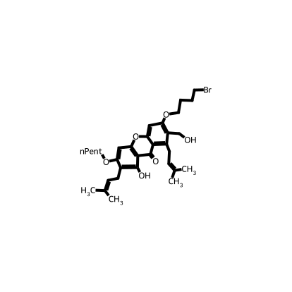 CCCCCOc1cc2oc3cc(OCCCCBr)c(CO)c(CC=C(C)C)c3c(=O)c2c(O)c1CC=C(C)C